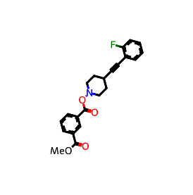 COC(=O)c1cccc(C(=O)ON2CCC(C#Cc3ccccc3F)CC2)c1